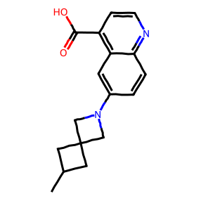 CC1CC2(C1)CN(c1ccc3nccc(C(=O)O)c3c1)C2